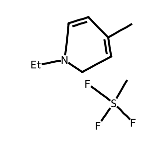 CCN1C=CC(C)=CC1.CS(F)(F)F